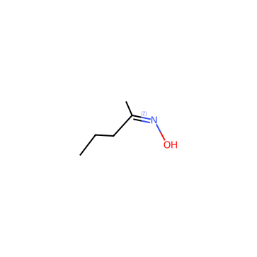 CCC/C(C)=N\O